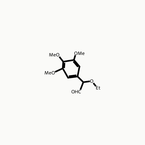 CCOC(C=O)c1cc(OC)c(OC)c(OC)c1